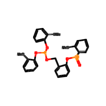 COc1ccccc1OP(OCc1ccccc1O[PH](=O)c1ccccc1OC)Oc1ccccc1OC